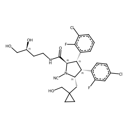 N#CN1[C@@H](CC2(CO)CC2)[C@@H](c2ccc(Cl)cc2F)[C@@H](c2cccc(Cl)c2F)[C@@H]1C(=O)NCC[C@H](O)CO